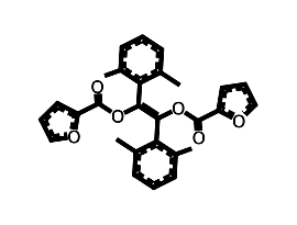 Cc1cccc(C)c1/C(OC(=O)c1ccco1)=C(\OC(=O)c1ccco1)c1c(C)cccc1C